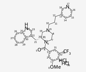 COc1cc(C(=O)N2CCN(CCCc3cccnc3)C[C@H]2Cc2c[nH]c3ccccc23)cc(C(F)(F)F)c1.Cl.Cl